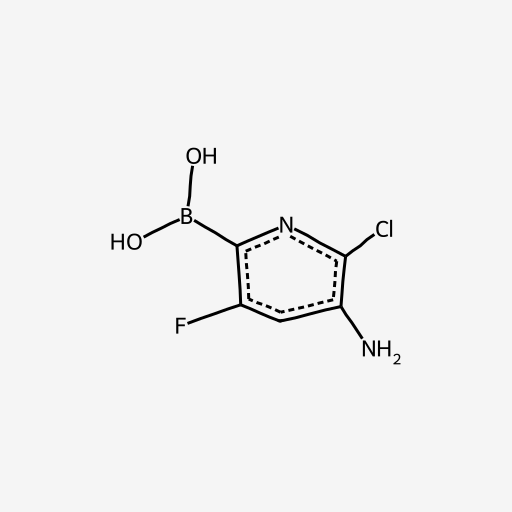 Nc1cc(F)c(B(O)O)nc1Cl